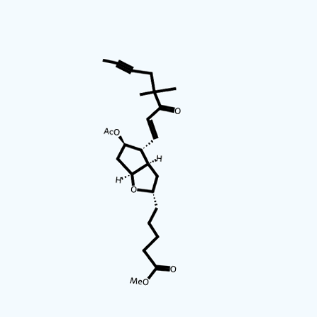 CC#CCC(C)(C)C(=O)/C=C/[C@@H]1[C@H]2C[C@H](CCCCC(=O)OC)O[C@H]2C[C@H]1OC(C)=O